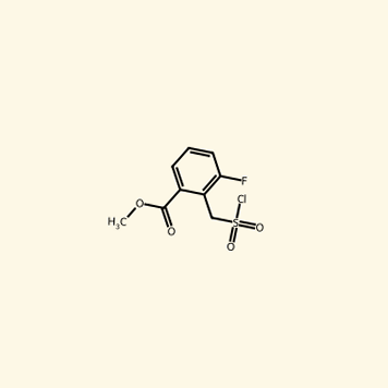 COC(=O)c1cccc(F)c1CS(=O)(=O)Cl